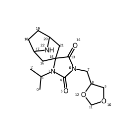 CC(C)N1C(=O)N(CC2COCO2)C(=O)C12CC1CCC(C2)N1